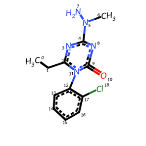 CCc1nc(N(C)N)nc(=O)n1-c1ccccc1Cl